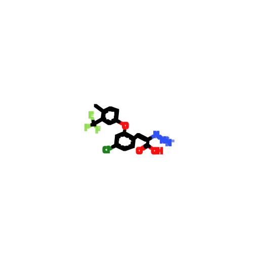 Cc1ccc(Oc2cc(Cl)ccc2/C=C(/N=[N+]=[N-])C(=O)O)cc1C(F)(F)F